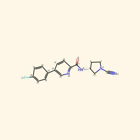 N#CN1CC[C@@H](NC(=O)c2ccc(-c3ccc(F)cc3)cn2)C1